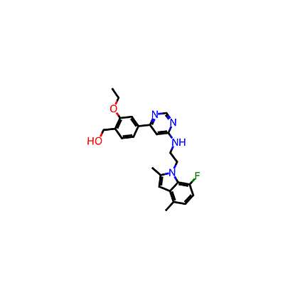 CCOc1cc(-c2cc(NCCn3c(C)cc4c(C)ccc(F)c43)ncn2)ccc1CO